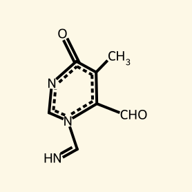 Cc1c(C=O)n(C=N)cnc1=O